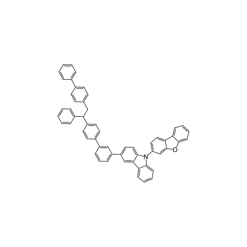 c1ccc(-c2ccc(CC(c3ccccc3)c3ccc(-c4cccc(-c5ccc6c(c5)c5ccccc5n6-c5ccc6c(c5)oc5ccccc56)c4)cc3)cc2)cc1